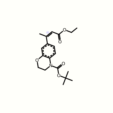 CCOC(=O)/C=C(/C)c1ccc2c(c1)OCCN2C(=O)OC(C)(C)C